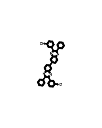 O=Nc1cccc(-c2nc3cc(-c4ccc5nc(-c6ccccc6)c(-c6cccc(N=O)c6)nc5c4)ccc3nc2-c2ccccc2)c1